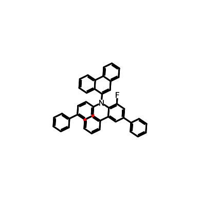 Fc1cc(-c2ccccc2)cc(-c2ccccc2)c1N(c1ccc(-c2ccccc2)cc1)c1cc2ccccc2c2ccccc12